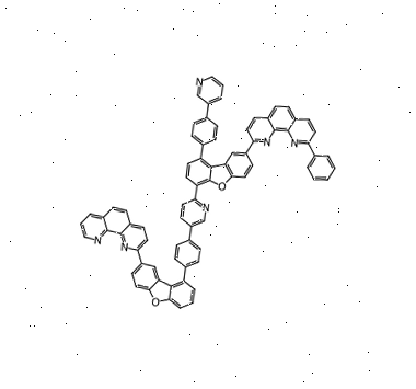 c1ccc(-c2ccc3ccc4ccc(-c5ccc6oc7c(-c8ccc(-c9ccc(-c%10cccc%11oc%12ccc(-c%13ccc%14ccc%15cccnc%15c%14n%13)cc%12c%10%11)cc9)cn8)ccc(-c8ccc(-c9cccnc9)cc8)c7c6c5)nc4c3n2)cc1